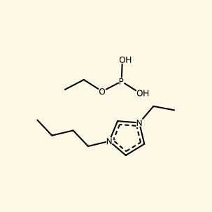 CCCC[n+]1ccn(CC)c1.CCOP(O)O